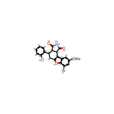 COc1cc(Br)c2oc3c(c2c1)C1C(=O)NC(=O)C1C(c1ccccc1Cl)C3